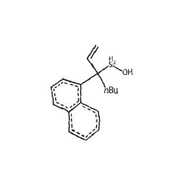 C=CC(CCCC)([SiH2]O)c1cccc2ccccc12